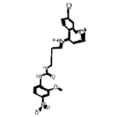 COc1cc([N+](=O)[O-])ccc1NC(=O)NCCCNc1ccnc2cc(Cl)ccc12